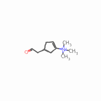 C[N+](C)(C)C1=CCC(CC=O)C1